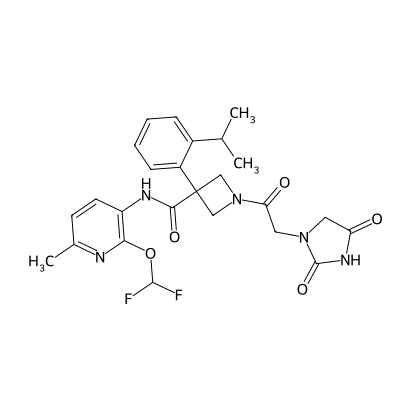 Cc1ccc(NC(=O)C2(c3ccccc3C(C)C)CN(C(=O)CN3CC(=O)NC3=O)C2)c(OC(F)F)n1